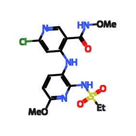 CCS(=O)(=O)Nc1nc(OC)ccc1Nc1cc(Cl)ncc1C(=O)NOC